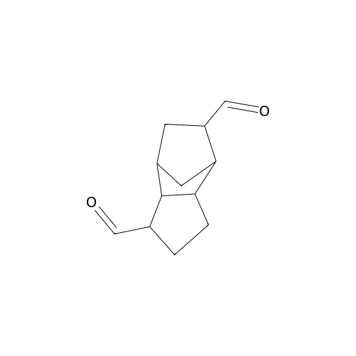 O=CC1CC2CC1C1CCC(C=O)C21